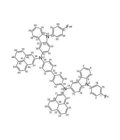 Fc1ccc(-n2c3ccccc3c3cc(N(C4=CC5=CC=CC6=CC=CC(=C4)C65)c4ccc(-c5ccc(N(c6cc7c8c(cccc8c6)CC=C7)c6ccc7c(c6)c6ccccc6n7-c6ccc(F)cc6)cc5)cc4)ccc32)cc1